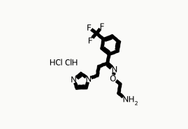 Cl.Cl.NCCON=C(CCn1ccnc1)c1cccc(C(F)(F)F)c1